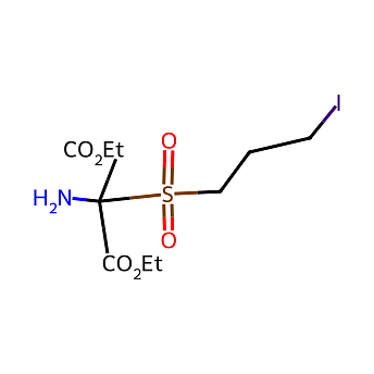 CCOC(=O)C(N)(C(=O)OCC)S(=O)(=O)CCCI